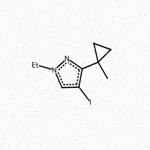 CCn1cc(I)c(C2(C)CC2)n1